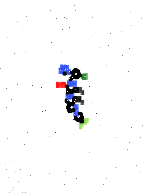 Cc1nc(N2CC3C(C2)C3(F)F)ccc1Cn1cc(C(O)NCc2cc(Cl)ccc2-n2cnnn2)c(C)n1